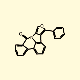 O=c1c2ccccc2c2cccc3c4c(-c5ccccc5)occ4n1c23